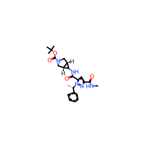 CNC(=O)c1cc(C(=O)N[C@H]2[C@@H]3CN(C(=O)OC(C)(C)C)C[C@@H]32)n([C@@H](C)c2ccccc2)n1